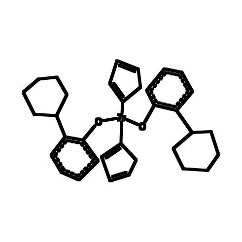 C1=CC[C]([Zr]([O]c2ccccc2C2CCCCC2)([O]c2ccccc2C2CCCCC2)[C]2=CC=CC2)=C1